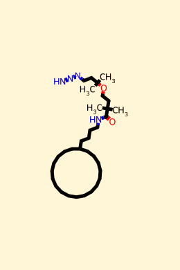 CC(C)(CCN=[N+]=N)OCCC(C)(C)C(=O)NCCCCC1CCCCCCCCCCCCCCCCCC1